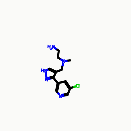 CN(CCN)Cc1c[nH]nc1-c1cncc(Cl)c1